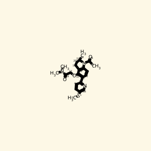 CSc1ccc(-c2ccc3c(c2OCC(=O)N(C)C)CCC(C)N3C(C)=O)nc1